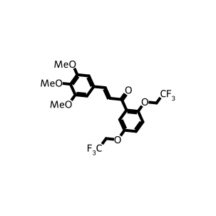 COc1cc(C=CC(=O)c2cc(OCC(F)(F)F)ccc2OCC(F)(F)F)cc(OC)c1OC